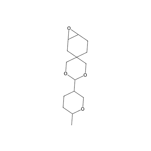 CC1CCC(C2OCC3(CCC4OC4C3)CO2)CO1